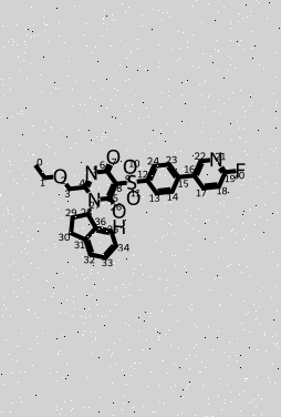 CCOCc1nc(=O)c(S(=O)(=O)c2ccc(-c3ccc(F)nc3)cc2)c(O)n1[C@H]1CCc2ccccc21